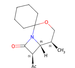 CC(=O)[C@H]1C(=O)N2[C@@H]1[C@H](C)COC21CCCCC1